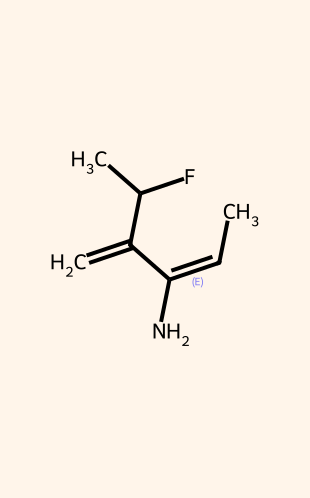 C=C(/C(N)=C\C)C(C)F